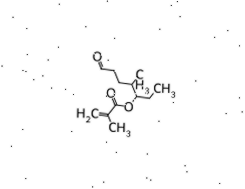 C=C(C)C(=O)OC(CC)C(C)CCC=O